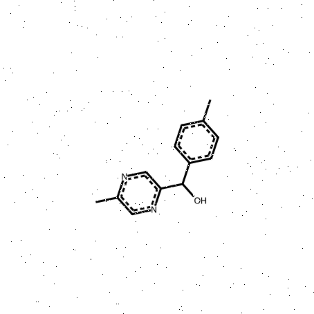 Cc1ccc(C(O)c2cnc(C)cn2)cc1